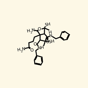 CC(C)(S)C(C(=O)NCc1ccccc1)C(CCCC(N)=O)(C(N)=O)C(C(=O)NCc1ccccc1)C(C)(C)S